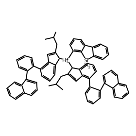 CC(C)CC1=Cc2c(-c3ccccc3-c3cccc4ccccc34)cccc2[CH]1[Hf]([c]1cccc2c1[SiH2]c1ccccc1-2)[CH]1C(CC(C)C)=Cc2c(-c3ccccc3-c3cccc4ccccc34)cccc21